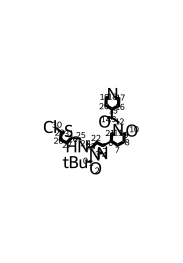 CC(C)(C)C(=O)n1nc(-c2ccc(=O)n(CC(=O)c3ccncc3)c2)cc1NCc1ccc(Cl)s1